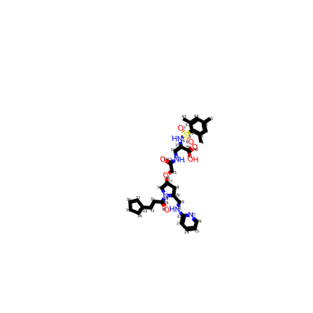 Cc1cc(C)c(S(=O)(=O)NC(CNC(=O)COC2CC(CNc3ccccn3)N(C(=O)CCC3CCCC3)C2)C(=O)O)c(C)c1